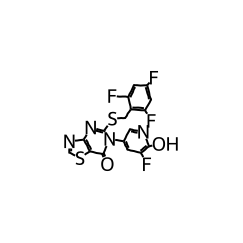 O=c1c2scnc2nc(SCc2c(F)cc(F)cc2F)n1-c1cnc(O)c(F)c1